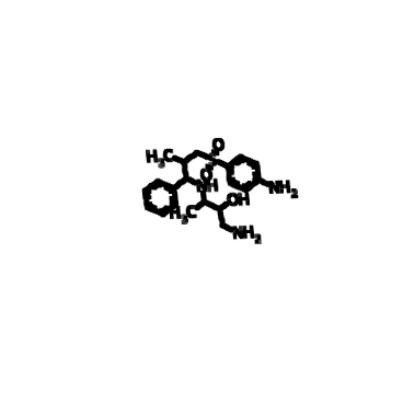 CC(CS(=O)(=O)c1ccc(N)cc1)C(NC(C)C(O)CN)c1ccccc1